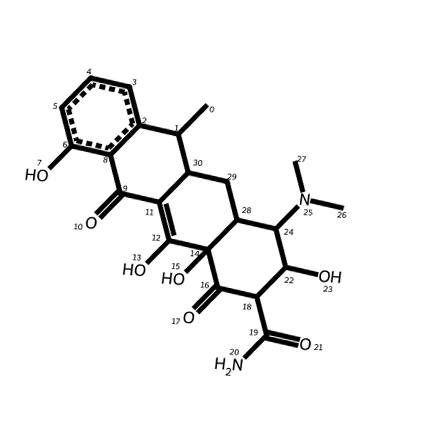 CC1c2cccc(O)c2C(=O)C2=C(O)C3(O)C(=O)C(C(N)=O)C(O)C(N(C)C)C3CC21